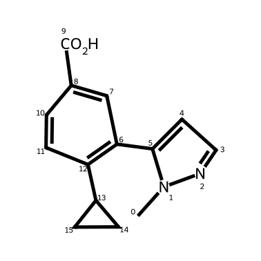 Cn1nccc1-c1cc(C(=O)O)ccc1C1CC1